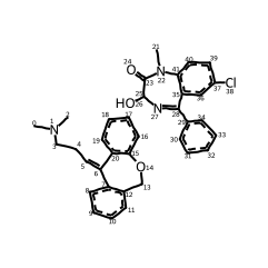 CN(C)CCC=C1c2ccccc2COc2ccccc21.CN1C(=O)C(O)N=C(c2ccccc2)c2cc(Cl)ccc21